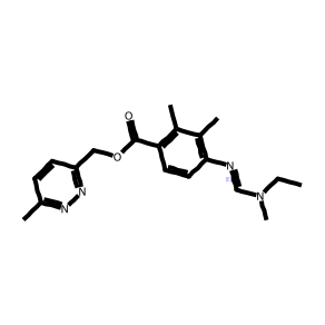 CCN(C)/C=N/c1ccc(C(=O)OCc2ccc(C)nn2)c(C)c1C